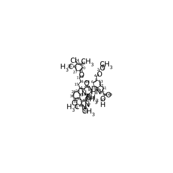 COCOCc1cc(N2C[C@@H](C)n3c(c(CCCOc4cc(C)c(Cl)c(C)c4)c4ccc(Cl)c(-c5c(C)nn(C)c5C)c43)C2=O)c2[nH]c(C(=O)O)cc2c1